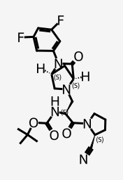 CC(C)(C)OC(=O)N[C@@H](CN1C[C@@H]2C[C@H]1C(=O)N2c1cc(F)cc(F)c1)C(=O)N1CCC[C@H]1C#N